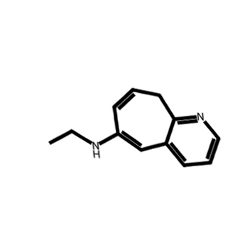 CCNC1=Cc2cccnc2CC=C1